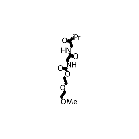 COCCOCCOC(=O)NCC(=O)NCC(=O)C(C)C